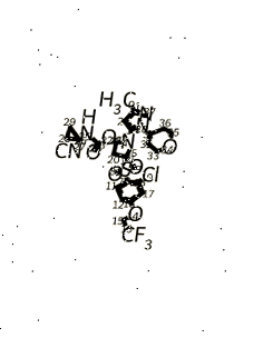 Cc1cc(N2C[C@H](S(=O)(=O)c3ccc(OCC(F)(F)F)cc3Cl)C[C@@H]2OC(=O)NC2(C#N)CC2)n(C2CCOCC2)n1